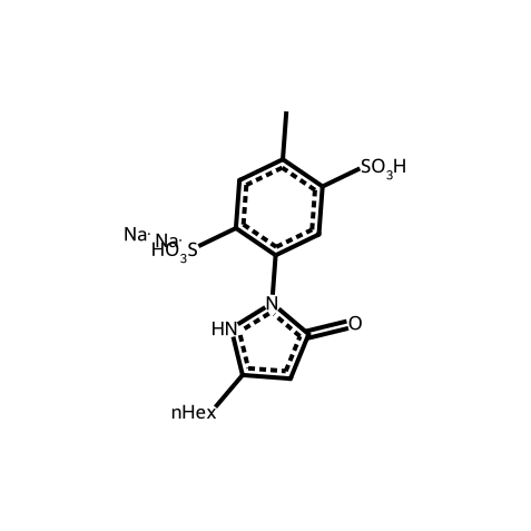 CCCCCCc1cc(=O)n(-c2cc(S(=O)(=O)O)c(C)cc2S(=O)(=O)O)[nH]1.[Na].[Na]